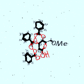 COC[C@H]1OC(O)[C@H](OC(=O)c2ccccc2)[C@@H](OC(=O)c2ccccc2)[C@@H]1OC(=O)c1ccccc1